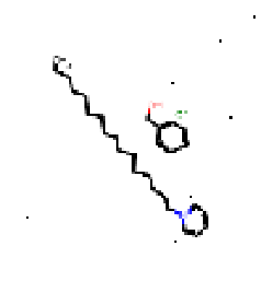 CCCCCCCCCCCCCCCC[n+]1ccccc1.OCc1ccccc1.[Cl-]